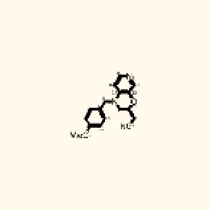 COc1ccc(CN2CC(CC#N)Oc3cnccc32)cc1